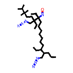 CCCC(CN=[N+]=[N-])C(CC)CCCCCCCC(CC)(N=O)C(CC)(CCC(C)(C)C(C)C)CN=[N+]=[N-]